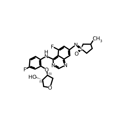 CC1CCS(=O)(=Nc2cc(F)c3c(Nc4ccc(F)cc4O[C@H]4COC[C@@H]4O)ncnc3c2)C1